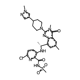 Cc1cc([C@@H](C)Nc2ccc(Cl)nc2C(=O)NS(C)(=O)=O)c2nc(N3CCC(c4cnn(C)c4)CC3)n(C)c(=O)c2c1